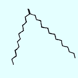 C=C(CCCCCCCCCCCC)CCCCCCCCCCCCCC